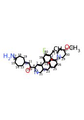 C#Cc1ccc(C2=CC(C(=O)/C=C3\CCC[C@@H](N)CC3)=NC/C2=C/c2ccc(N3CCC(OC)CC3)cc2)cc1F